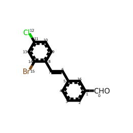 O=Cc1cccc(/C=C/c2ccc(Cl)cc2Br)c1